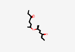 CCC(=O)CCC(C)OC(C)CCC(=O)CC